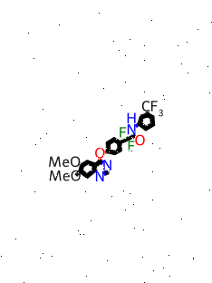 COc1cc2ncnc(Oc3ccc(C(F)(F)C(=O)Nc4cccc(C(F)(F)F)c4)cc3)c2cc1OC